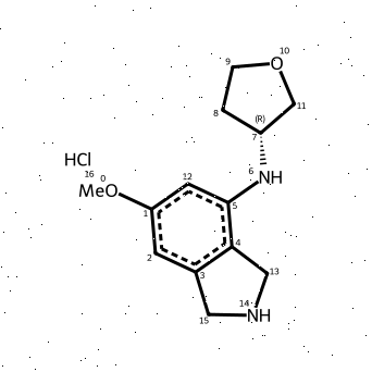 COc1cc2c(c(N[C@@H]3CCOC3)c1)CNC2.Cl